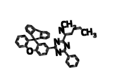 C=N/C(=C\C=C/C)c1nc(-c2ccccc2)nc(-c2ccc3c(c2)C2(c4ccccc4O3)c3ccccc3-c3ccccc32)n1